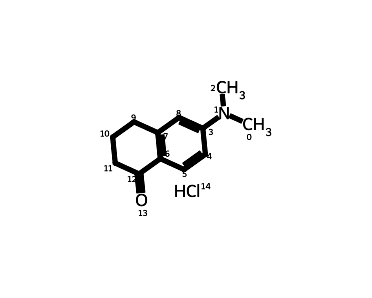 CN(C)c1ccc2c(c1)CCCC2=O.Cl